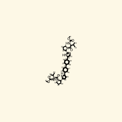 COC(=O)NC(C(=O)N1CCC[C@H]1c1ncc(-c2ccc(-c3ccc(-c4ccc([C@@H]5CCCN5C(=O)N(NC(=O)OC)C(C)C)[nH]4)cc3)cc2)[nH]1)C(C)C